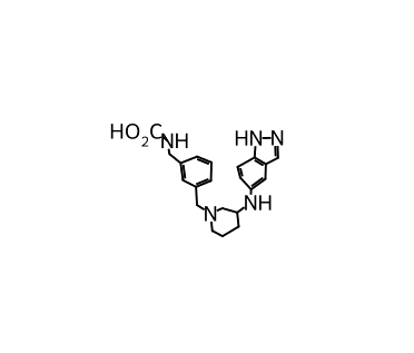 O=C(O)NCc1cccc(CN2CCCC(Nc3ccc4[nH]ncc4c3)C2)c1